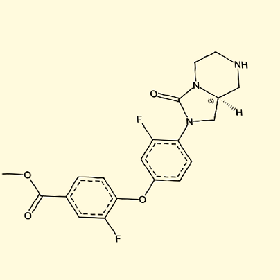 COC(=O)c1ccc(Oc2ccc(N3C[C@@H]4CNCCN4C3=O)c(F)c2)c(F)c1